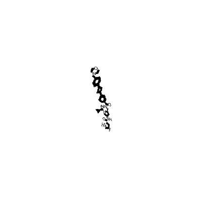 O=C(NC[C@H]1C[C@@H](NC(=O)[C@@H]2C[C@H](F)CN2)CN1C(=O)C1CC1)c1ccc(C2CC(c3ccc(CN4CCOCC4)cc3)C2)cc1